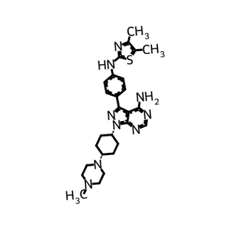 Cc1nc(Nc2ccc(-c3nn([C@H]4CC[C@@H](N5CCN(C)CC5)CC4)c4ncnc(N)c34)cc2)sc1C